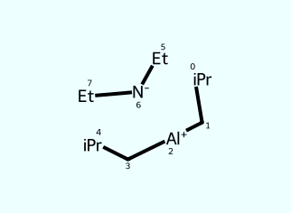 CC(C)[CH2][Al+][CH2]C(C)C.CC[N-]CC